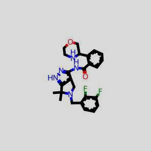 CC1(C)c2[nH]nc(NC(=O)c3ccccc3C3COCCN3)c2CN1Cc1cccc(F)c1F